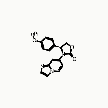 CCCOc1ccc([C@H]2COC(=O)N2c2ccn3ccnc3c2)cc1